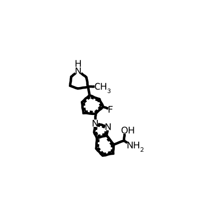 CC1(c2ccc(-n3cc4cccc(C(N)O)c4n3)c(F)c2)CCCNC1